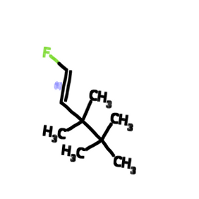 CC(C)(C)C(C)(C)/C=C/F